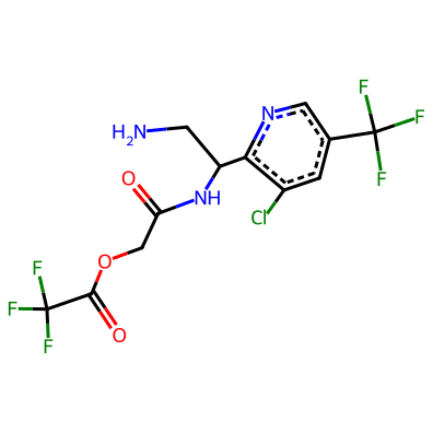 NCC(NC(=O)COC(=O)C(F)(F)F)c1ncc(C(F)(F)F)cc1Cl